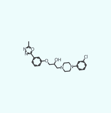 Cc1nnc(-c2cccc(OCC(O)CN3CCN(c4cccc(Cl)c4)CC3)c2)o1